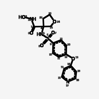 O=C(NO)C1(NS(=O)(=O)c2ccc(Oc3ccncc3)cc2)CCOC1